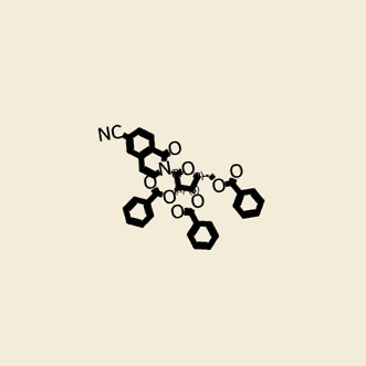 N#Cc1ccc2c(=O)n([C@@H]3O[C@H](COC(=O)c4ccccc4)[C@H](OC(=O)c4ccccc4)[C@H]3OC(=O)c3ccccc3)ccc2c1